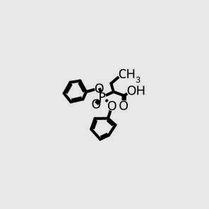 CCC(C(=O)O)P(=O)(Oc1ccccc1)Oc1ccccc1